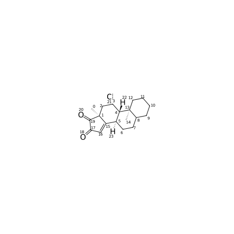 C[C@]12CC[C@H]3[C@@H](CCC4CCCC[C@@]43C)C1=CC(=O)C2=O.[C]